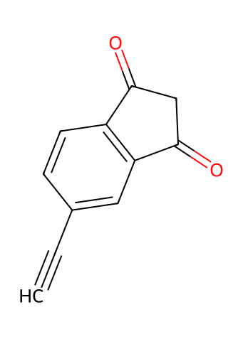 C#Cc1ccc2c(c1)C(=O)CC2=O